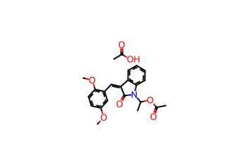 CC(=O)O.COc1ccc(OC)c(C=C2C(=O)N(C(C)OC(C)=O)c3ccccc32)c1